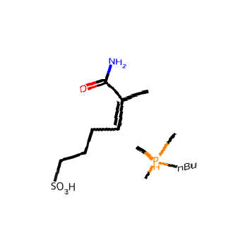 CC(=CCCCS(=O)(=O)O)C(N)=O.CCCC[PH](C)(C)C